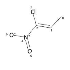 CC=C(Cl)[N+](=O)[O-]